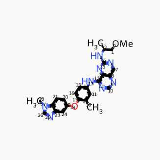 COC[C@H](C)Nc1ncc2ncnc(Nc3ccc(Oc4ccc5c(c4)ncn5C)c(C)c3)c2n1